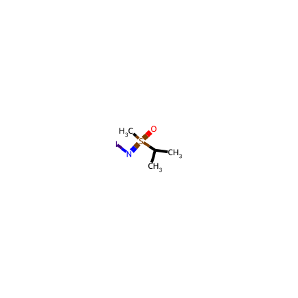 CC(C)S(C)(=O)=NI